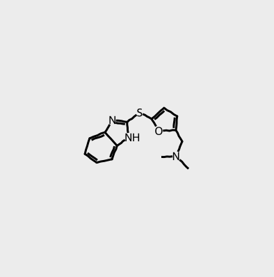 CN(C)Cc1ccc(Sc2nc3ccccc3[nH]2)o1